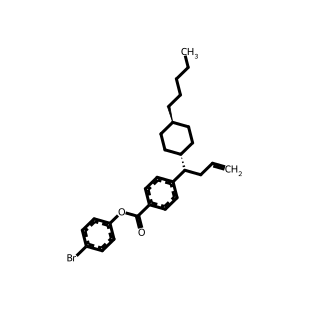 C=CCC(c1ccc(C(=O)Oc2ccc(Br)cc2)cc1)[C@H]1CC[C@H](CCCCC)CC1